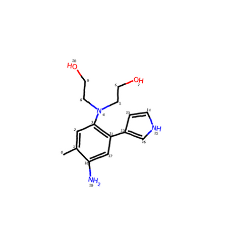 Cc1cc(N(CCO)CCO)c(-c2cc[nH]c2)cc1N